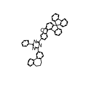 c1ccc(-c2nc(-c3ccc4c(c3)-c3ccccc3CCC4)nc(-c3ccc4c(c3)oc3ccc5c(c34)-c3ccccc3C53c4ccccc4-c4ccccc43)n2)cc1